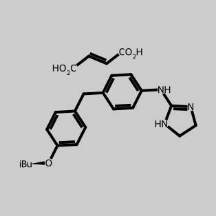 CC[C@H](C)Oc1ccc(Cc2ccc(NC3=NCCN3)cc2)cc1.O=C(O)C=CC(=O)O